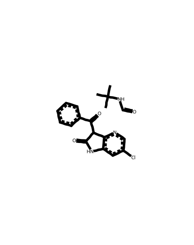 CC(C)(C)NC=O.O=C1Nc2cc(Cl)cnc2C1C(=O)c1ccccc1